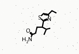 CCc1csc(C(CCC(N)=O)C(C)C)n1